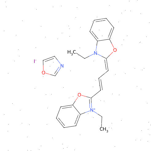 CCN1C(=CC=Cc2oc3ccccc3[n+]2CC)Oc2ccccc21.[I-].c1cocn1